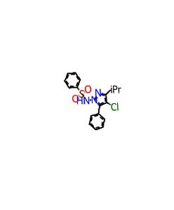 CC(C)c1nn(NS(=O)(=O)c2ccccc2)c(-c2ccccc2)c1Cl